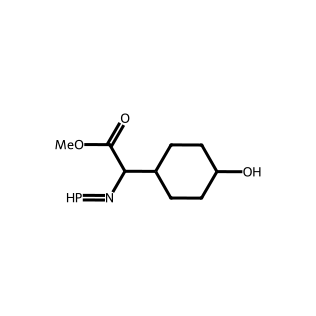 COC(=O)C(N=P)C1CCC(O)CC1